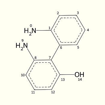 Nc1ccccc1-c1c(N)cccc1O